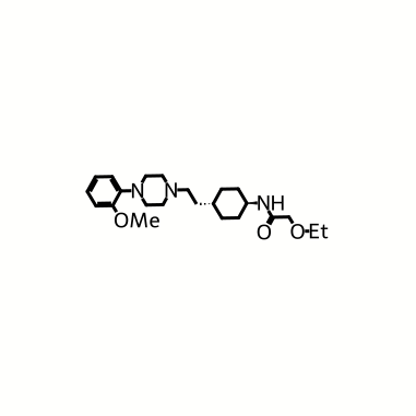 CCOCC(=O)N[C@H]1CC[C@H](CCN2CCN(c3ccccc3OC)CC2)CC1